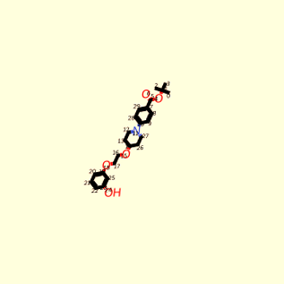 CC(C)(C)OC(=O)c1ccc(N2CCC(OCCOc3cccc(O)c3)CC2)cc1